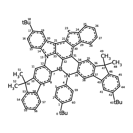 CC(C)(C)c1ccc(N2B3c4cc5c(cc4-n4c6ccc(C(C)(C)C)cc6c6c7sc8ccccc8c7c(c3c64)-c3cc4c(cc32)-c2cc(C(C)(C)C)ccc2C4(C)C)C(C)(C)c2ccccc2-5)cc1